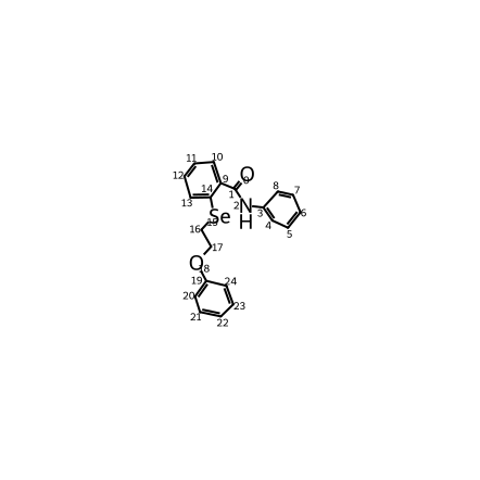 O=C(Nc1ccccc1)c1ccccc1[Se]CCOc1ccccc1